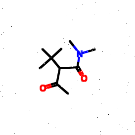 CC(=O)C(C(=O)N(C)C)C(C)(C)C